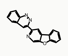 c1ccc2nnc(-c3cc4c(cn3)oc3ccccc34)cc2c1